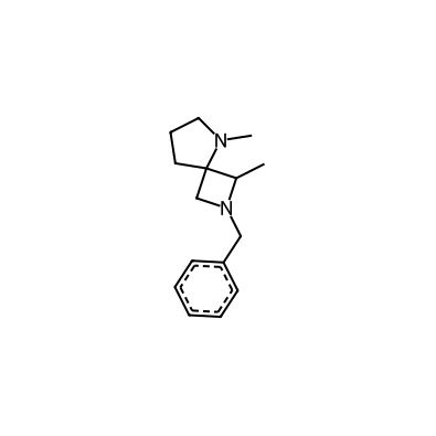 CC1N(Cc2ccccc2)CC12CCCN2C